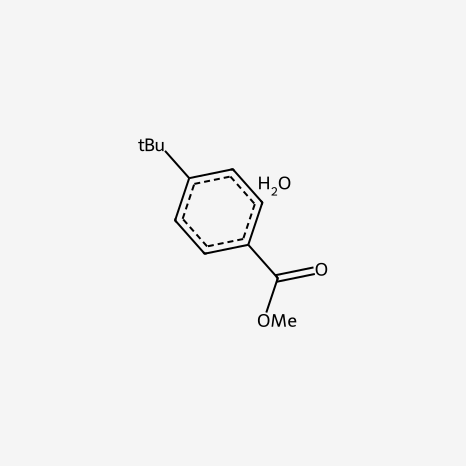 COC(=O)c1ccc(C(C)(C)C)cc1.O